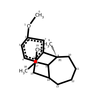 COc1ccc2c(c1)[C@@]1(C)CCCCC(C2)C1N(C)C